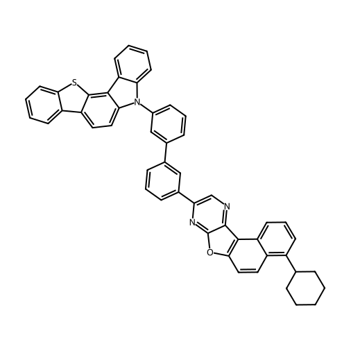 c1cc(-c2cccc(-n3c4ccccc4c4c5sc6ccccc6c5ccc43)c2)cc(-c2cnc3c(n2)oc2ccc4c(C5CCCCC5)cccc4c23)c1